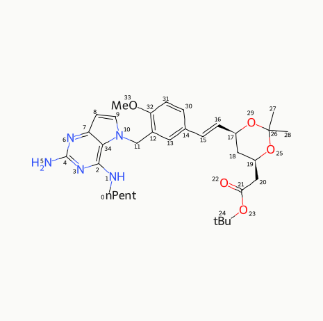 CCCCCNc1nc(N)nc2ccn(Cc3cc(/C=C/[C@@H]4C[C@H](CC(=O)OC(C)(C)C)OC(C)(C)O4)ccc3OC)c12